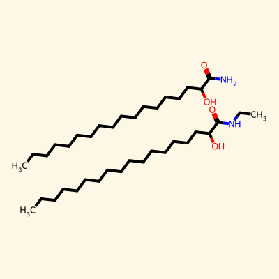 CCCCCCCCCCCCCCCCC(O)C(=O)NCC.CCCCCCCCCCCCCCCCC(O)C(N)=O